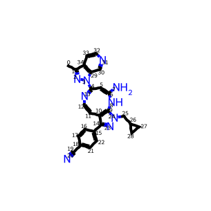 Cc1nn(-c2cc(N)[nH]c3c(ccn2)c(-c2ccc(C#N)cc2)nn3CC2CC2)c2cnccc12